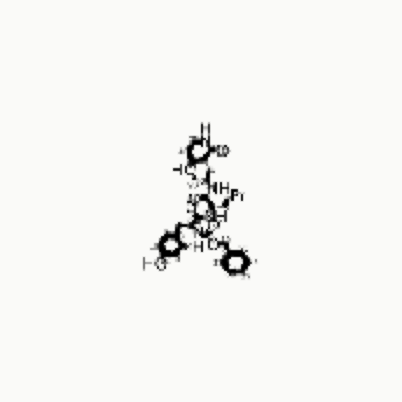 CC(C)C[C@H](NC(=O)[C@H](Cc1ccc(O)cc1)NC(=O)OCc1ccccc1)C(=O)N[C@H](CO)C[C@@H]1CCCNC1=O